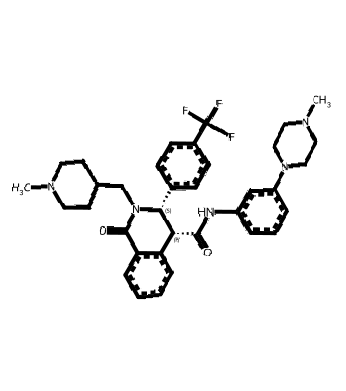 CN1CCC(CN2C(=O)c3ccccc3[C@@H](C(=O)Nc3cccc(N4CCN(C)CC4)c3)[C@H]2c2ccc(C(F)(F)F)cc2)CC1